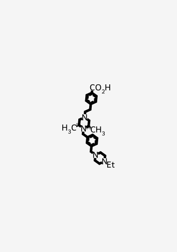 CCN1CCN(Cc2cccc(CN3[C@H](C)CN(CCc4ccc(C(=O)O)cc4)C[C@@H]3C)c2)CC1